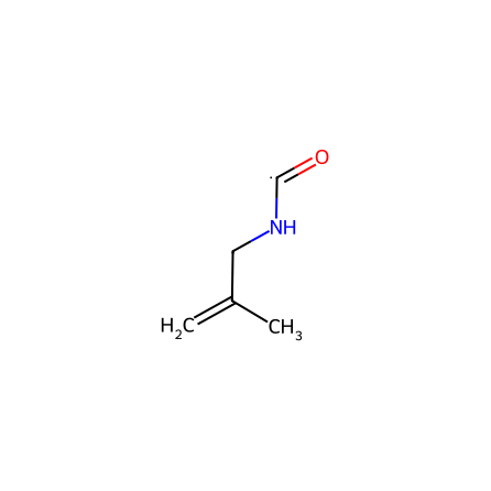 C=C(C)CN[C]=O